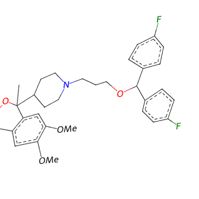 COc1cc2c(cc1OC)C(C)(C1CCN(CCCOC(c3ccc(F)cc3)c3ccc(F)cc3)CC1)OCC2